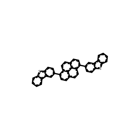 c1ccc2c(c1)sc1ccc(-c3ccc4ccc5c(-c6ccc7sc8ccccc8c7c6)ccc6ccc3c4c65)cc12